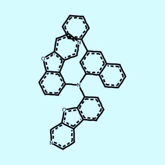 c1ccc(-c2cc(N(c3cccc4c3oc3cnccc34)c3cccc4oc5ccncc5c34)c3ccccc3c2)cc1